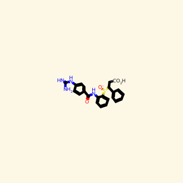 N=C(N)Nc1ccc(C(=O)Nc2ccccc2[S+]([O-])C(CC(=O)O)c2ccccc2)cc1